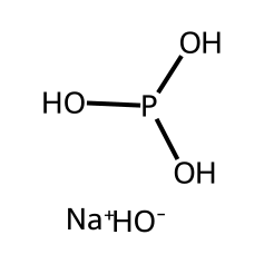 OP(O)O.[Na+].[OH-]